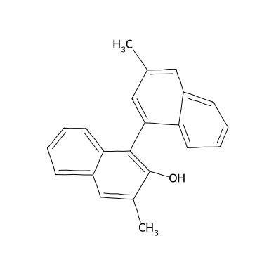 Cc1cc(-c2c(O)c(C)cc3ccccc23)c2ccccc2c1